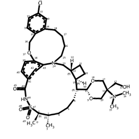 C[C@@H]1[C@@H](C)CCC[C@@H]([C@H]2OC[C@@](CO)(N(C)C)CO2)[C@@H]2CC[C@H]2CN2CCCCc3cc(Cl)ccc3COc3ccc(cc32)C(=O)NS1(=O)=O